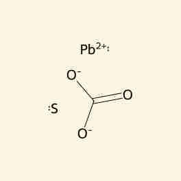 O=C([O-])[O-].[Pb+2].[S]